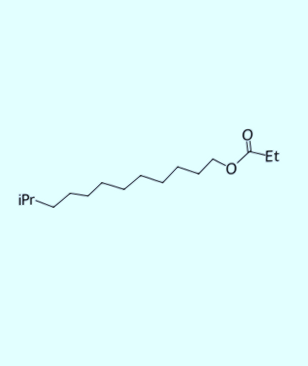 CCC(=O)OCCCCCCCCCCC(C)C